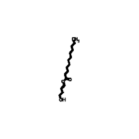 CCCCCCCCCCCC(=O)OCCCCO